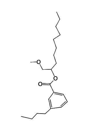 CCCCCCCCC(COC)OC(=O)c1cccc(CCCC)c1